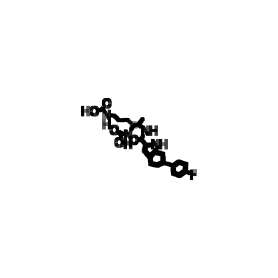 CC(NC(=O)c1cc2ccc(-c3ccc(F)cc3)cc2[nH]1)[C@H](CCCNC(=O)O)NC(=O)O